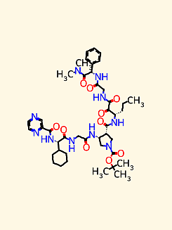 CCC[C@H](NC(=O)[C@@H]1CN(C(=O)OC(C)(C)C)C[C@@H]1NC(=O)CNC(=O)[C@@H](NC(=O)c1cnccn1)C1CCCCC1)C(=O)C(=O)NCC(=O)N[C@H](C(=O)N(C)C)c1ccccc1